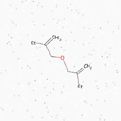 C=C(CC)COCC(=C)CC